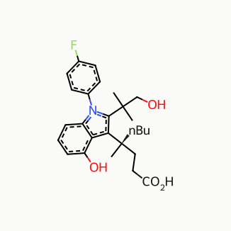 CCCC[C@](C)(CCC(=O)O)c1c(C(C)(C)CO)n(-c2ccc(F)cc2)c2cccc(O)c12